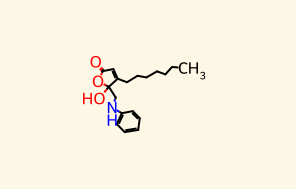 CCCCCCCC1=CC(=O)OC1(O)CNc1ccccc1